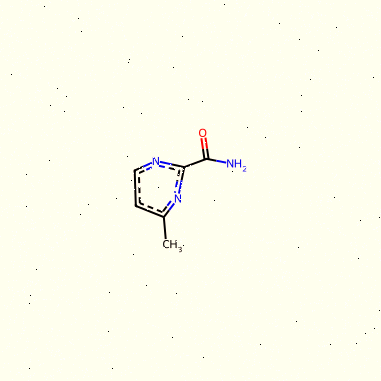 Cc1ccnc(C(N)=O)n1